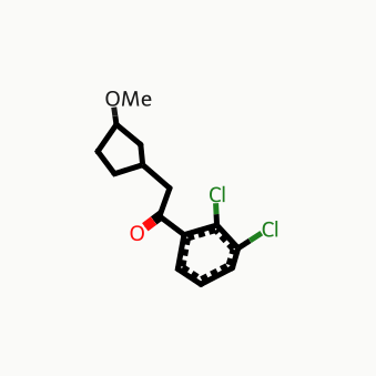 COC1CCC(CC(=O)c2cccc(Cl)c2Cl)C1